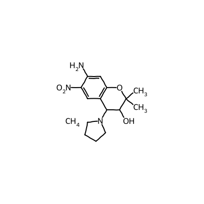 C.CC1(C)Oc2cc(N)c([N+](=O)[O-])cc2C(N2CCCC2)C1O